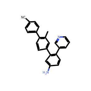 Cc1cc(-c2cc(N)ccc2-c2cccnc2)ccc1-c1ccc(C#N)cc1